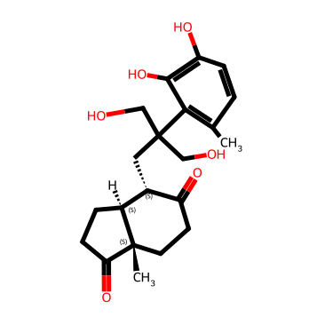 Cc1ccc(O)c(O)c1C(CO)(CO)C[C@@H]1C(=O)CC[C@]2(C)C(=O)CC[C@@H]12